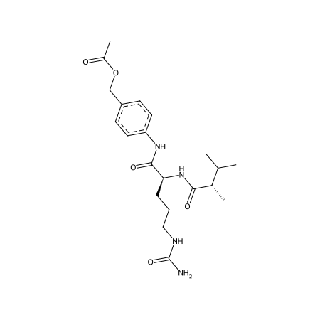 CC(=O)OCc1ccc(NC(=O)[C@H](CCCNC(N)=O)NC(=O)[C@@H](C)C(C)C)cc1